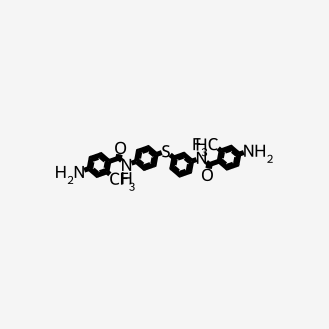 Nc1ccc(C(=O)Nc2ccc(Sc3cccc(NC(=O)c4ccc(N)cc4C(F)(F)F)c3)cc2)c(C(F)(F)F)c1